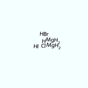 Br.Cl.I.[MgH2].[MgH2]